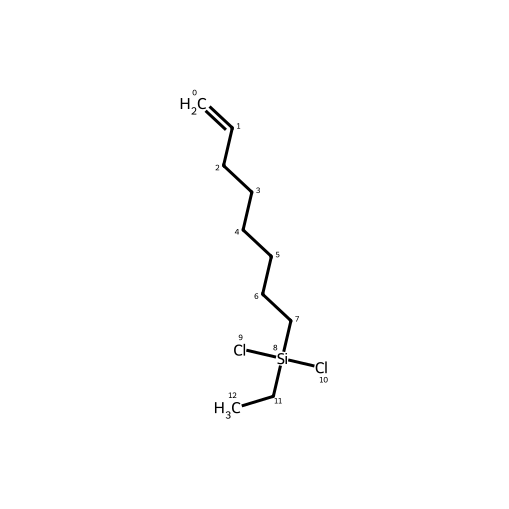 C=CCCCCCC[Si](Cl)(Cl)CC